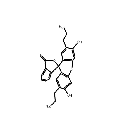 CCCc1cc2c(cc1O)Oc1cc(O)c(CCC)cc1C21OC(=O)c2ccccc21